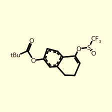 CC(C)(C)C(=O)Oc1ccc2c(c1)CCC=C2OS(=O)C(F)(F)F